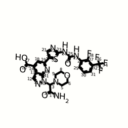 NC(=O)C(N1CCOCC1)n1ncc2c(C(=O)O)cc(-c3cnc(NC(=O)Nc4cccc(C(F)(F)F)c4F)s3)nc21